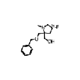 CN1C[C@H](F)CC1(CO)COCc1ccccc1